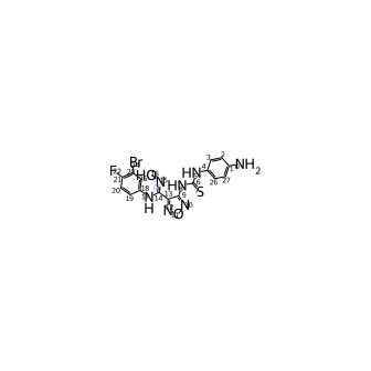 Nc1ccc(NC(=S)Nc2nonc2/C(=N/O)Nc2ccc(F)c(Br)c2)cc1